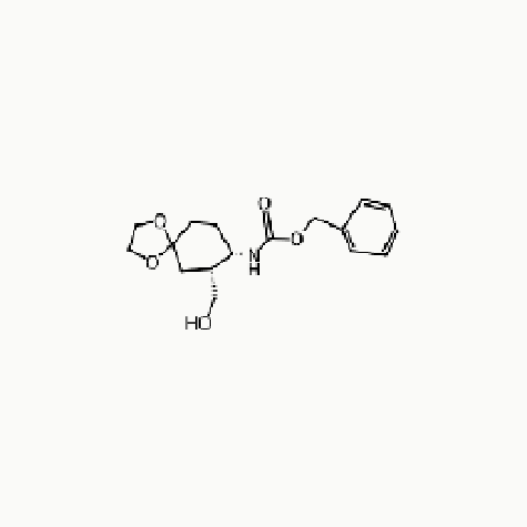 O=C(N[C@H]1CCC2(C[C@H]1CO)OCCO2)OCc1ccccc1